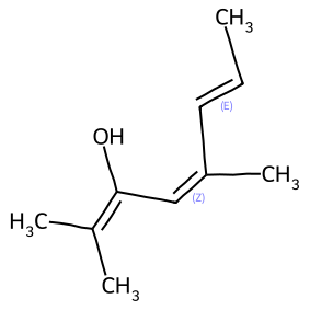 C/C=C/C(C)=C\C(O)=C(C)C